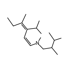 CC/C(C)=C(\C=C/N(C)CC(C)C(C)C)C(C)C